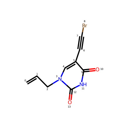 C=CCn1cc(C#CBr)c(=O)[nH]c1=O